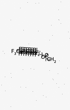 C=CC(=O)OCCCC(F)(F)C(F)(F)C(F)(F)C(F)(F)C(F)(F)C(F)(F)C(F)(F)C(F)(F)C(F)(F)F